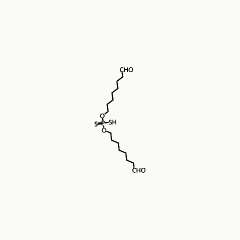 O=CCCCCCCCOP(=S)(S)OCCCCCCCC=O